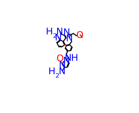 COCCc1nc2c(N)nc3ccccc3c2n1Cc1ccc(CNn2ccc(N)nc2=O)cc1